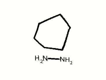 C1CCCCC1.NN